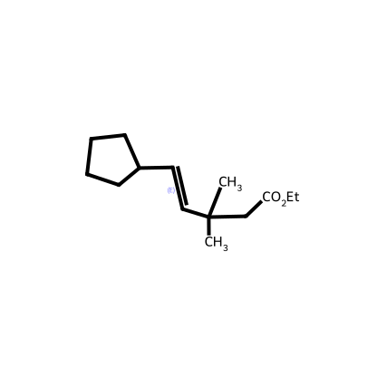 CCOC(=O)CC(C)(C)/C=C/C1CCCC1